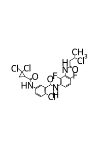 CC(Cl)CC(=O)Nc1c(F)ccc(NC(=O)c2cc(NC(=O)C3CC3(Cl)Cl)ccc2Cl)c1F